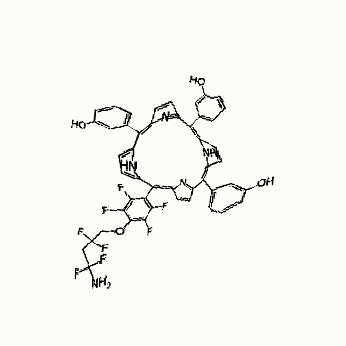 NC(F)(F)CC(F)(F)COc1c(F)c(F)c(-c2c3nc(c(-c4cccc(O)c4)c4ccc([nH]4)c(-c4cccc(O)c4)c4nc(c(-c5cccc(O)c5)c5ccc2[nH]5)C=C4)C=C3)c(F)c1F